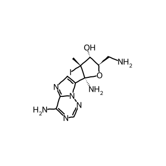 C[C@@]1(I)[C@H](O)[C@@H](CN)O[C@@]1(N)c1cnc2c(N)ncnn12